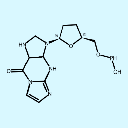 O=C1C2NCN([C@H]3CC[C@@H](COPO)O3)C2Nc2nccn21